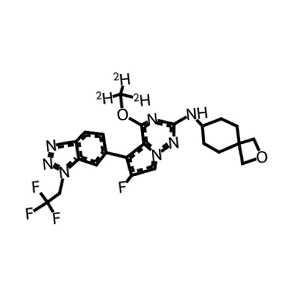 [2H]C([2H])([2H])Oc1nc(NC2CCC3(CC2)COC3)nn2cc(F)c(-c3ccc4nnn(CC(F)(F)F)c4c3)c12